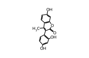 Cc1c(-c2ccc(O)cc2O)c(=O)oc2cc(O)ccc12